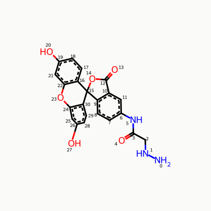 NNCC(=O)Nc1ccc2c(c1)C(=O)OC21c2ccc(O)cc2Oc2cc(O)ccc21